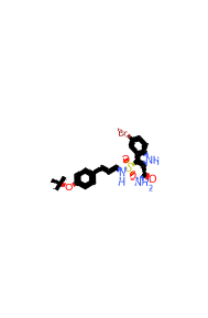 CC(C)(C)Oc1ccc(CCCNS(=O)(=O)c2c(C(N)=O)[nH]c3ccc(Br)cc23)cc1